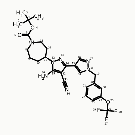 CC(C)(C)OC(=O)N1CCC[C@H](n2nc(-c3cnn(Cc4cccc(OC(F)(F)F)c4)c3)c(C#N)c2N)CC1